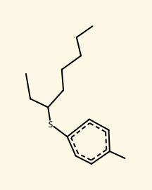 C[CH]CCCC(CC)Sc1ccc(C)cc1